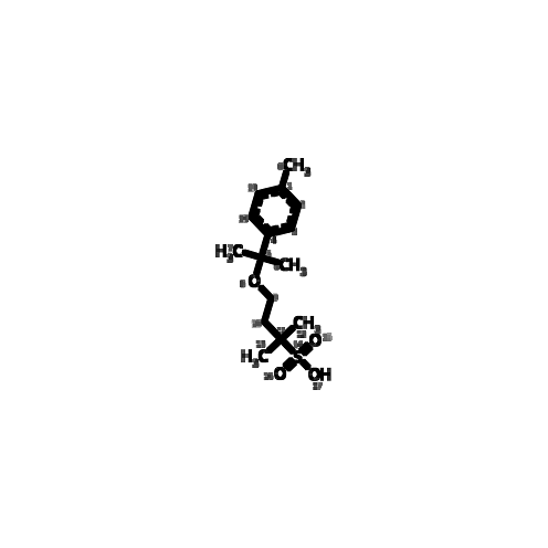 Cc1ccc(C(C)(C)OCCC(C)(C)S(=O)(=O)O)cc1